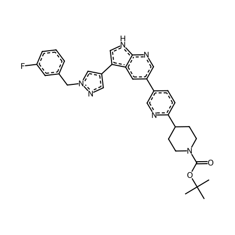 CC(C)(C)OC(=O)N1CCC(c2ccc(-c3cnc4[nH]cc(-c5cnn(Cc6cccc(F)c6)c5)c4c3)cn2)CC1